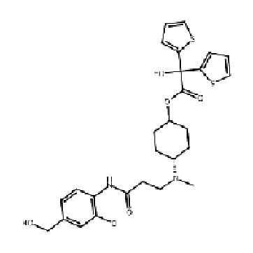 CN(CCC(=O)Nc1ccc(CO)cc1Cl)[C@H]1CC[C@H](OC(=O)C(O)(c2cccs2)c2cccs2)CC1